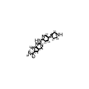 CN(C)C(=O)c1cc2cnc(Nc3ccc(N4CCNCC4)cn3)nc2n1C